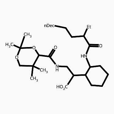 CCCCCCCCCCCCC(CC)C(=O)NC1CCCCC1C(CNC(=O)C1OC(C)(C)OCC1(C)C)C(=O)O